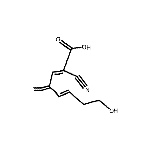 C=C(C=CCCO)C=C(C#N)C(=O)O